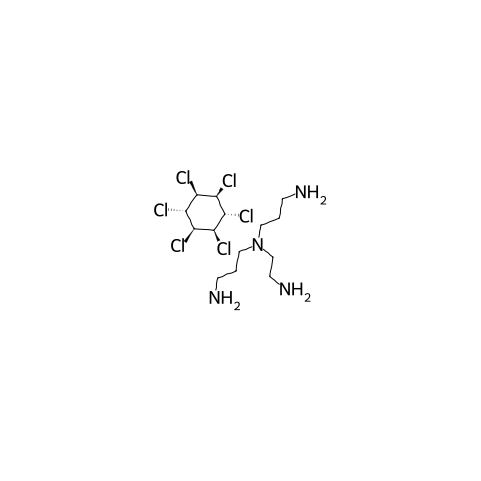 Cl[C@H]1[C@H](Cl)[C@@H](Cl)[C@@H](Cl)[C@H](Cl)[C@H]1Cl.NCCCN(CCN)CCCN